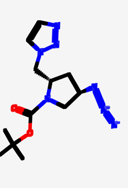 CC(C)(C)OC(=O)N1C[C@H](N=[N+]=[N-])C[C@H]1Cn1ccnn1